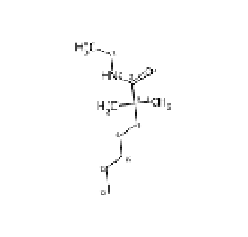 CCNC(=O)C(C)(C)CCCCI